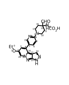 CCOc1cc(-c2ccc(N3CCC(C=O)(NC(=O)O)CC3)nc2)c2c3cn[nH]c3nn2c1